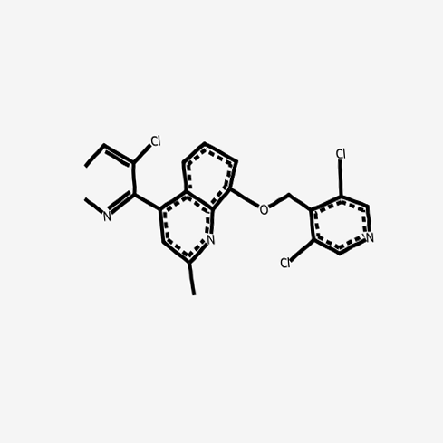 C/C=C(Cl)\C(=N/C)c1cc(C)nc2c(OCc3c(Cl)cncc3Cl)cccc12